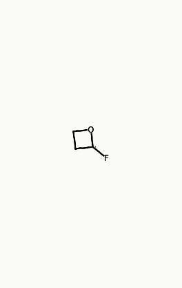 F[C]1CCO1